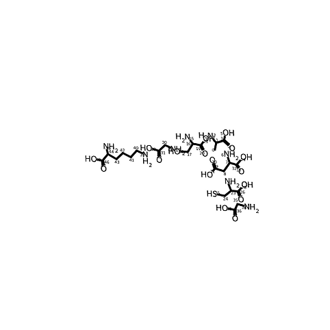 CC(N)C(=O)O.NC(CC(=O)O)C(=O)O.NC(CO)C(=O)O.NC(CS)C(=O)O.NCC(=O)O.NCC(=O)O.NCCCCC(N)C(=O)O